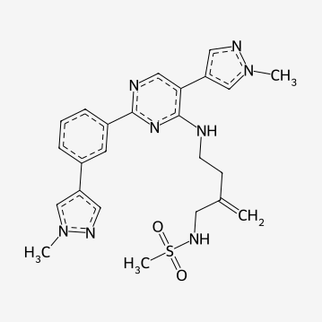 C=C(CCNc1nc(-c2cccc(-c3cnn(C)c3)c2)ncc1-c1cnn(C)c1)CNS(C)(=O)=O